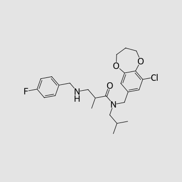 CC(C)CN(Cc1cc(Cl)c2c(c1)OCCCO2)C(=O)C(C)CNCc1ccc(F)cc1